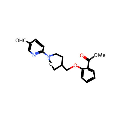 COC(=O)c1ccccc1OCC1CCN(c2ccc(C=O)cn2)CC1